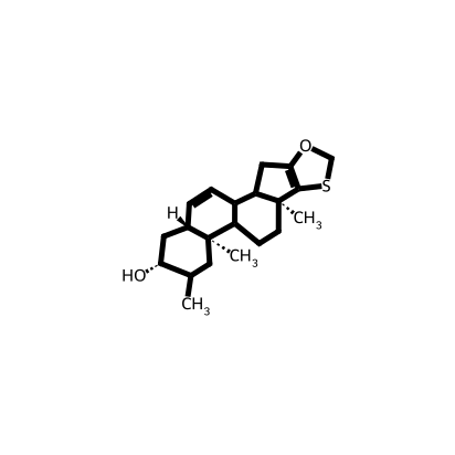 CC1C[C@]2(C)C3CC[C@]4(C)C5=C(CC4C3C=C[C@H]2C[C@H]1O)OCS5